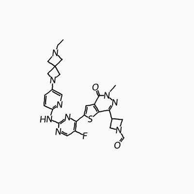 CCN1CC2(C1)CN(c1ccc(Nc3ncc(F)c(-c4cc5c(=O)n(C)nc(C6CN(C=O)C6)c5s4)n3)nc1)C2